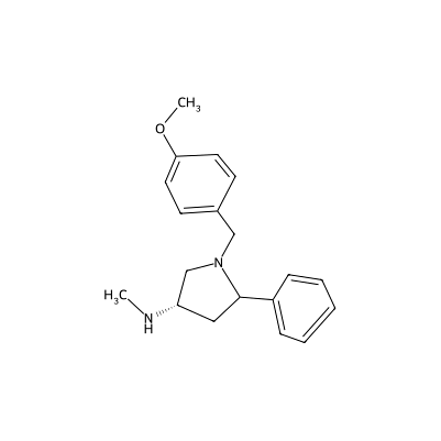 CN[C@H]1CC(c2ccccc2)N(Cc2ccc(OC)cc2)C1